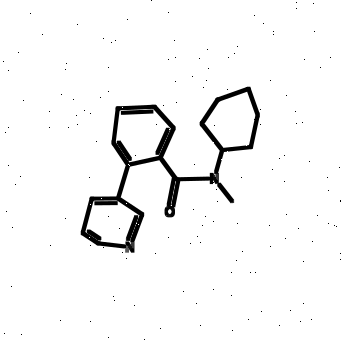 CN(C(=O)c1ccccc1-c1cccnc1)C1CCCCC1